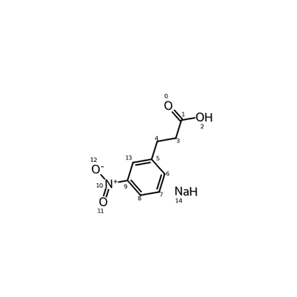 O=C(O)CCc1cccc([N+](=O)[O-])c1.[NaH]